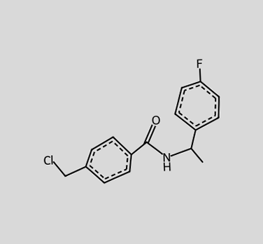 CC(NC(=O)c1ccc(CCl)cc1)c1ccc(F)cc1